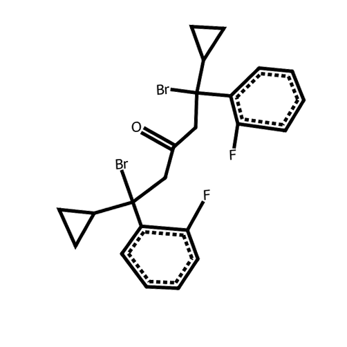 O=C(CC(Br)(c1ccccc1F)C1CC1)CC(Br)(c1ccccc1F)C1CC1